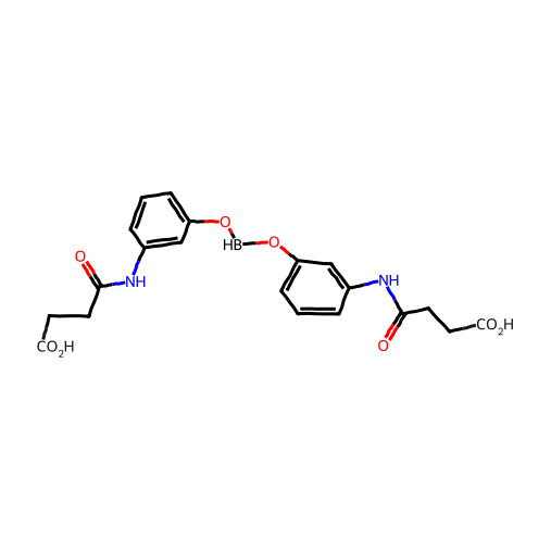 O=C(O)CCC(=O)Nc1cccc(OBOc2cccc(NC(=O)CCC(=O)O)c2)c1